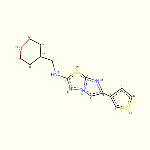 c1cc(-c2cn3nc(NCC4CCOCC4)sc3n2)cs1